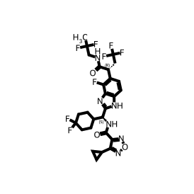 CC(F)(F)CNC(=O)[C@H](CC(F)(F)F)c1ccc2[nH]c([C@@H](NC(=O)c3nonc3C3CC3)C3CCC(F)(F)CC3)nc2c1F